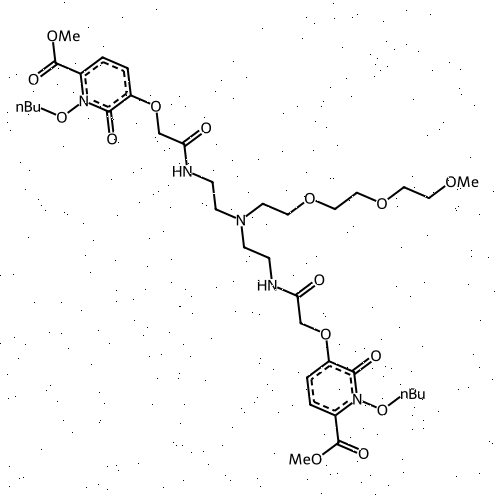 CCCCOn1c(C(=O)OC)ccc(OCC(=O)NCCN(CCNC(=O)COc2ccc(C(=O)OC)n(OCCCC)c2=O)CCOCCOCCOC)c1=O